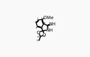 COc1cccc2c1C(=N)NC21OC(C)O1